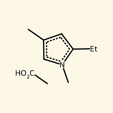 CC(=O)O.CCc1cc(C)cn1C